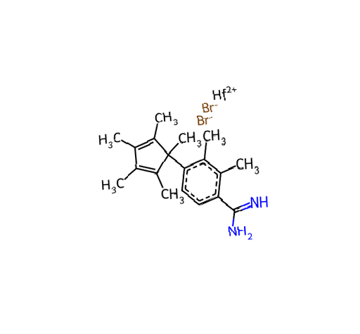 CC1=C(C)C(C)(c2ccc(C(=N)N)c(C)c2C)C(C)=C1C.[Br-].[Br-].[Hf+2]